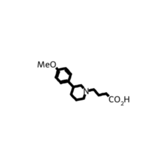 COc1ccc(C2CCCN(CCCC(=O)O)C2)cc1